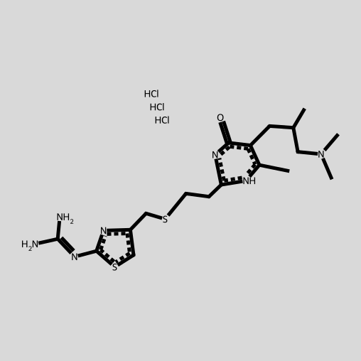 Cc1[nH]c(CCSCc2csc(N=C(N)N)n2)nc(=O)c1CC(C)CN(C)C.Cl.Cl.Cl